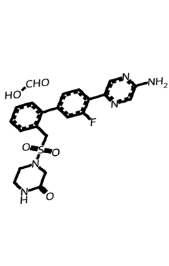 Nc1cnc(-c2ccc(-c3ccccc3CS(=O)(=O)N3CCNC(=O)C3)cc2F)cn1.O=CO